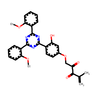 C=C(C)C(=O)C(=O)COc1ccc(-c2nc(-c3ccccc3OCC)nc(-c3ccccc3OCC)n2)c(O)c1